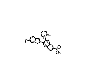 COC(=O)c1ccc2nc(C3=Cc4ccc(F)cc4C3)c(N3CCCC[C@@H]3C)nc2c1